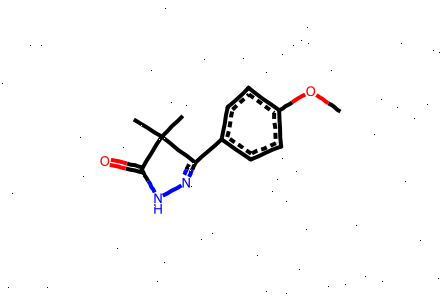 COc1ccc(C2=NNC(=O)C2(C)C)cc1